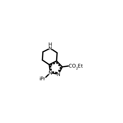 CCOC(=O)c1nn(C(C)C)c2c1CNCC2